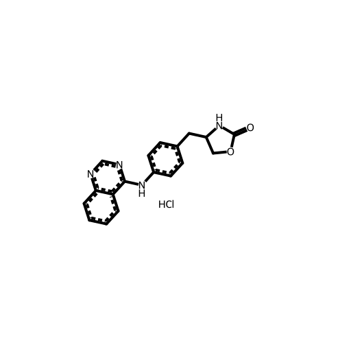 Cl.O=C1NC(Cc2ccc(Nc3ncnc4ccccc34)cc2)CO1